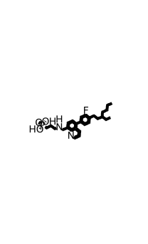 CCCCC(CC)CCc1ccc(-c2ccc(CNCCCP(=O)(O)O)c3ncccc23)cc1F